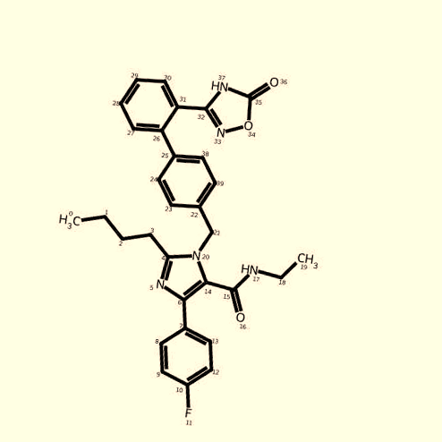 CCCCc1nc(-c2ccc(F)cc2)c(C(=O)NCC)n1Cc1ccc(-c2ccccc2-c2noc(=O)[nH]2)cc1